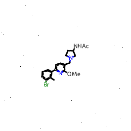 COc1nc(-c2cccc(Br)c2C)ccc1CN1CCC(NC(C)=O)C1